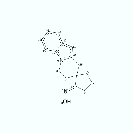 O/N=C1\CCCC12CCn1c(cc3ccccc31)C2